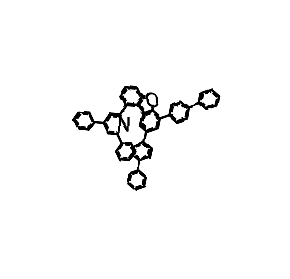 c1ccc(-c2ccc(-c3cc(-c4ccc(-c5ccccc5)cc4)c4oc5cccc(-c6cc(-c7ccccc7)cc(-c7ccccc7)n6)c5c4c3)cc2)cc1